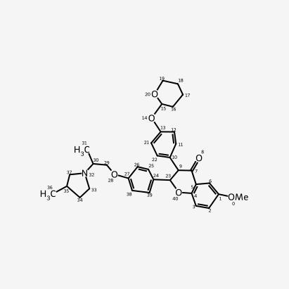 COc1ccc2c(c1)C(=O)C(c1ccc(OC3CCCCO3)cc1)C(c1ccc(OCC(C)N3CCC(C)C3)cc1)O2